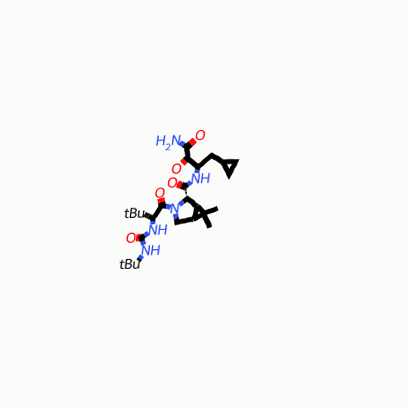 CC(C)(C)NC(=O)NC(C(=O)N1CC2C([C@H]1C(=O)NC(CC1CC1)C(=O)C(N)=O)C2(C)C)C(C)(C)C